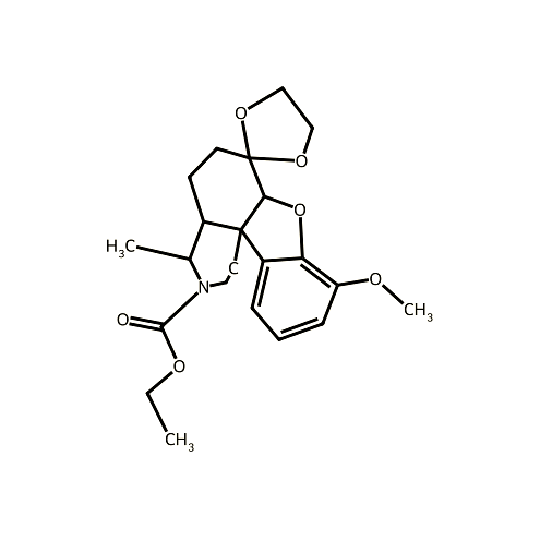 CCOC(=O)N1CCC23c4cccc(OC)c4OC2C2(CCC3C1C)OCCO2